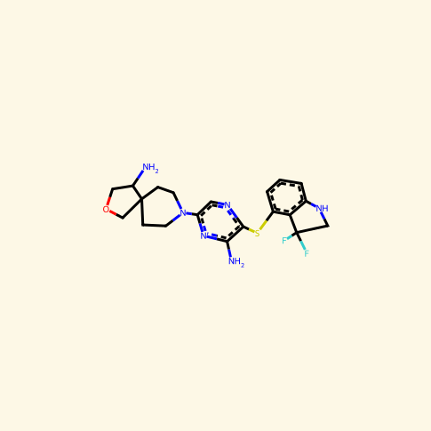 Nc1nc(N2CCC3(CC2)COCC3N)cnc1Sc1cccc2c1C(F)(F)CN2